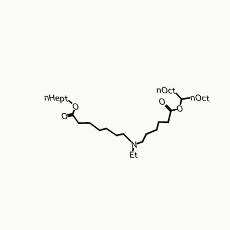 CCCCCCCCC(CCCCCCCC)OC(=O)CCCCCN(CC)CCCCCCC(=O)OCCCCCCC